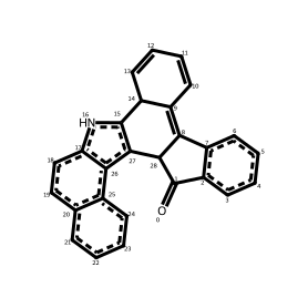 O=C1c2ccccc2C2=C3C=CC=CC3c3[nH]c4ccc5ccccc5c4c3C12